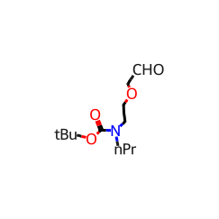 CCCN(CCOCC=O)C(=O)OC(C)(C)C